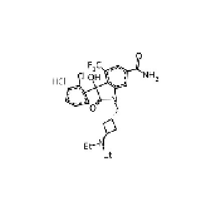 CCN(CC)[C@H]1C[C@H](CN2C(=O)C(O)(c3ccccc3Cl)c3c2cc(C(N)=O)cc3C(F)(F)F)C1.Cl